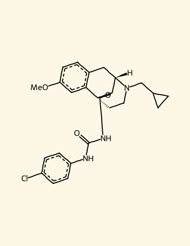 COc1ccc2c(c1)[C@@]13CCN(CC4CC4)[C@@H](C2)C1OCC(NC(=O)Nc1ccc(Cl)cc1)C3